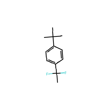 CC(C)(C)c1ccc(C(C)(F)F)cc1